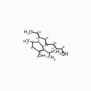 CC1CCC(C(C)C)C(O)C1.CCCCCCCCO